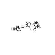 Cc1c(-n2nnn(C)c2=O)csc1COc1cc[nH]n1